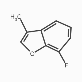 Cc1coc2c(F)cccc12